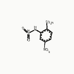 O=C(O)c1ccc([N+](=O)[O-])cc1N[SH](=O)=O